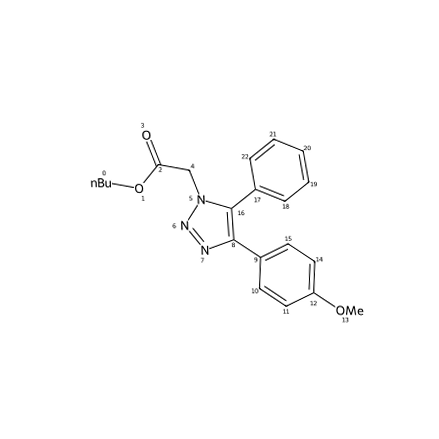 CCCCOC(=O)Cn1nnc(-c2ccc(OC)cc2)c1-c1ccccc1